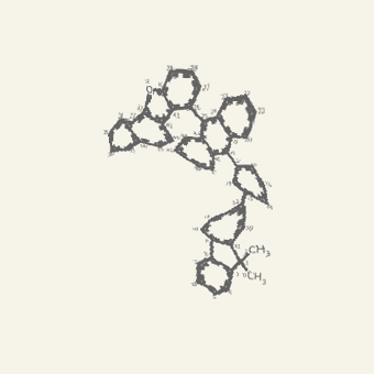 CC1(C)c2ccccc2-c2ccc(-c3cccc(-c4c5ccccc5c(-c5cccc6oc7c8ccccc8ccc7c56)c5ccccc45)c3)cc21